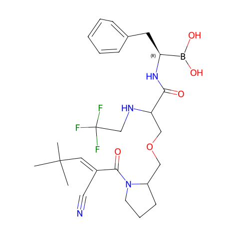 CC(C)(C)C=C(C#N)C(=O)N1CCCC1COCC(NCC(F)(F)F)C(=O)N[C@@H](Cc1ccccc1)B(O)O